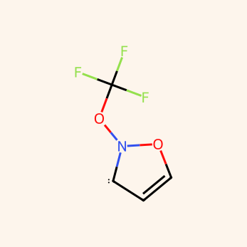 FC(F)(F)ON1[C]C=CO1